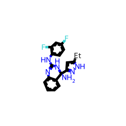 CCc1cc(C2(N)NC(Nc3ccc(F)cc3F)=Nc3ccccc32)n[nH]1